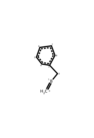 C=BCc1ccccc1